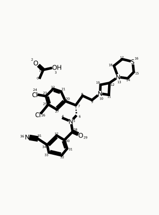 CC(=O)O.CN(C[C@@H](CCN1CC(N2CCSCC2)C1)c1ccc(Cl)c(Cl)c1)C(=O)c1cccc(C#N)c1